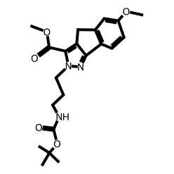 COC(=O)c1c2c(nn1CCCNC(=O)OC(C)(C)C)-c1ccc(OC)cc1C2